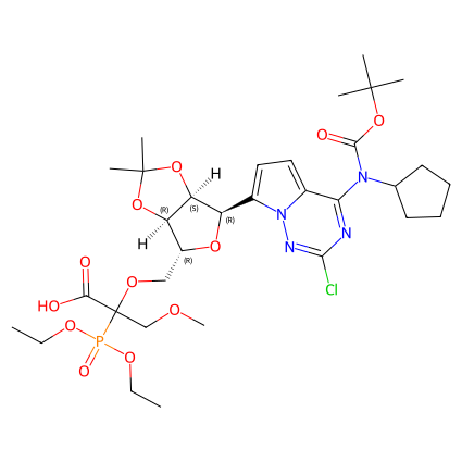 CCOP(=O)(OCC)C(COC)(OC[C@H]1O[C@H](c2ccc3c(N(C(=O)OC(C)(C)C)C4CCCC4)nc(Cl)nn23)[C@@H]2OC(C)(C)O[C@@H]21)C(=O)O